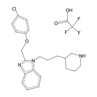 Clc1ccc(OCc2nc3ccccc3n2CCCC2CCCNC2)cc1.O=C(O)C(F)(F)F